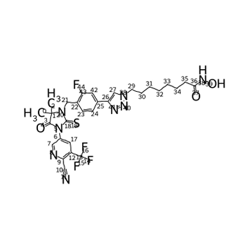 CC1(C)C(=O)N(c2cnc(C#N)c(C(F)(F)F)c2)C(=S)N1Cc1ccc(-c2cn(CCCCCCCC(=O)NO)nn2)cc1F